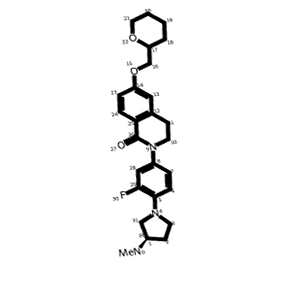 CN[C@@H]1CCN(c2ccc(N3CCc4cc(OCC5CCCCO5)ccc4C3=O)cc2F)C1